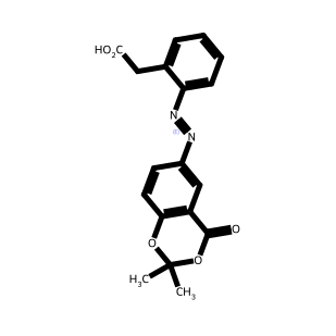 CC1(C)OC(=O)c2cc(/N=N/c3ccccc3CC(=O)O)ccc2O1